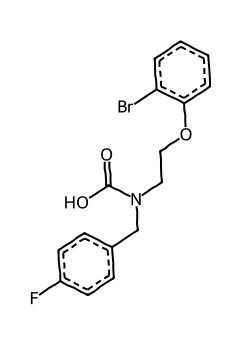 O=C(O)N(CCOc1ccccc1Br)Cc1ccc(F)cc1